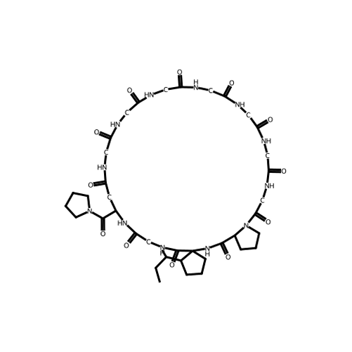 CCC(C)C1CCCC12NC(=O)C1CCCN1C(=O)CNC(=O)CNC(=O)CNC(=O)CNC(=O)CNC(=O)CNC(=O)CNC(=O)CC(C(=O)N1CCCC1)NC(=O)CNC2=O